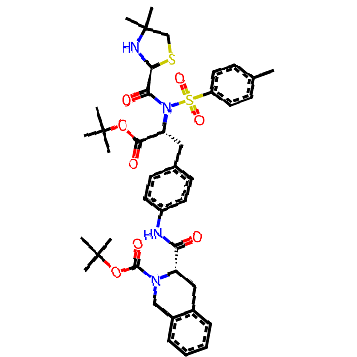 Cc1ccc(S(=O)(=O)N(C(=O)[C@H]2NC(C)(C)CS2)[C@H](Cc2ccc(NC(=O)[C@@H]3Cc4ccccc4CN3C(=O)OC(C)(C)C)cc2)C(=O)OC(C)(C)C)cc1